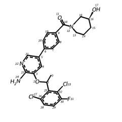 CC(Oc1cc(-c2ccc(C(=O)N3CCC[C@H](O)C3)cc2)cnc1N)c1c(Cl)ccc(F)c1Cl